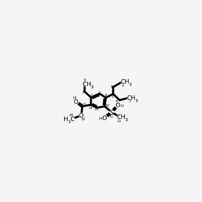 CCc1cc(C(CC)CC)c(S(C)(=O)=O)cc1C(=O)OC